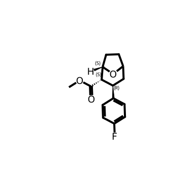 COC(=O)[C@@H]1[C@@H]2CCC(C[C@H]1c1ccc(F)cc1)O2